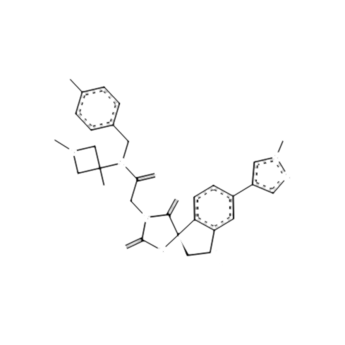 CCn1cc(-c2ccc3c(c2)[C@H](F)C[C@]32NC(=O)N(CC(=O)N(Cc3ccc(F)cc3)C3(C(F)(F)F)CN(C)C3)C2=O)cn1